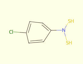 SN(S)c1ccc(Cl)cc1